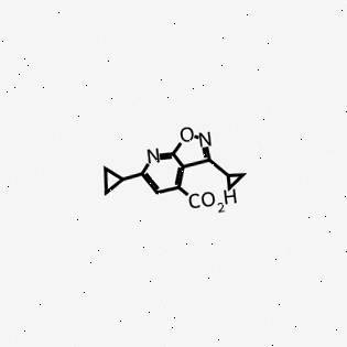 O=C(O)c1cc(C2CC2)nc2onc(C3CC3)c12